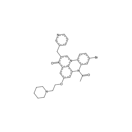 CC(=O)N1c2cc(Br)ccc2-n2cc(Cc3cccnc3)c(=O)c3cc(OCCN4CCCCC4)cc1c32